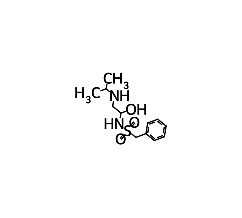 CC(C)NCC(O)NS(=O)(=O)Cc1ccccc1